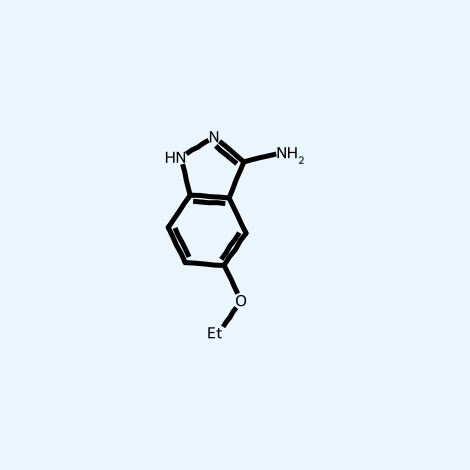 CCOc1ccc2[nH]nc(N)c2c1